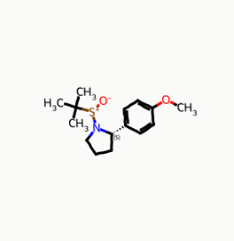 COc1ccc([C@@H]2CCCN2[S+]([O-])C(C)(C)C)cc1